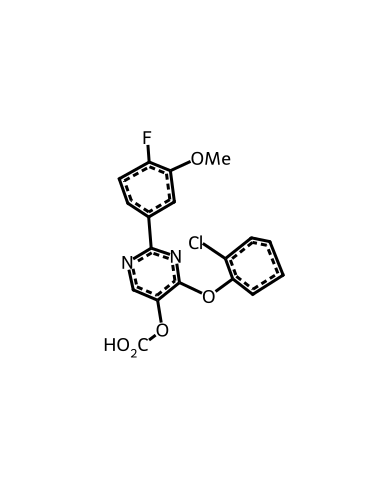 COc1cc(-c2ncc(OC(=O)O)c(Oc3ccccc3Cl)n2)ccc1F